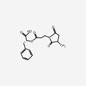 CC1CC(=O)N(CCC(=O)O[C@H](Cc2ccccc2)C(=O)O)C1=O